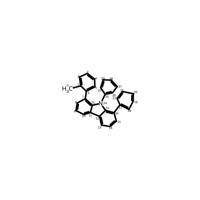 Cc1ccccc1-c1cccc2c3cccc(-c4ccccc4)c3n(-c3ccccc3)c12